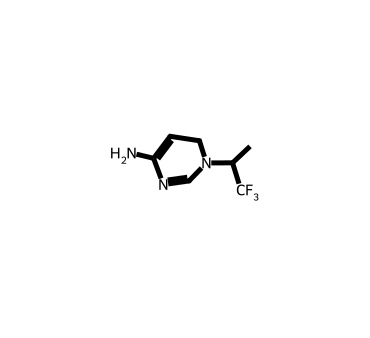 CC(N1C=NC(N)=CC1)C(F)(F)F